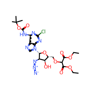 CCOC(=O)C(OC[C@H]1O[C@@H](n2cnc3c(NC(=O)OC(C)(C)C)nc(Cl)nc32)C(N=[N+]=[N-])[C@@H]1O)C(=O)OCC